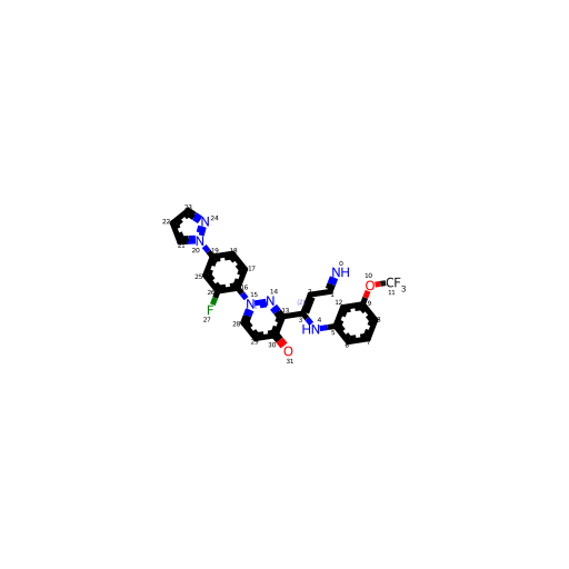 N=C/C=C(\Nc1cccc(OC(F)(F)F)c1)c1nn(-c2ccc(-n3cccn3)cc2F)ccc1=O